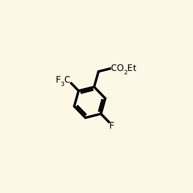 CCOC(=O)Cc1cc(F)ccc1C(F)(F)F